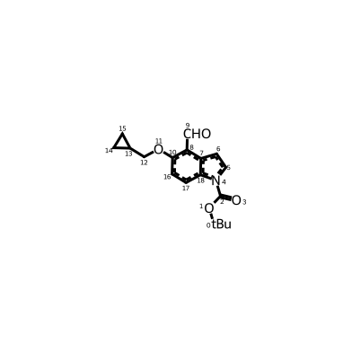 CC(C)(C)OC(=O)n1ccc2c(C=O)c(OCC3CC3)ccc21